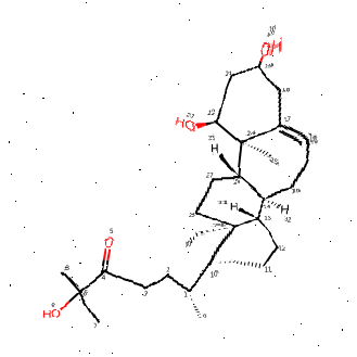 C[C@H](CCC(=O)C(C)(C)O)[C@H]1CC[C@H]2[C@@H]3CC=C4CC(O)C[C@H](O)[C@]4(C)[C@H]3CC[C@]12C